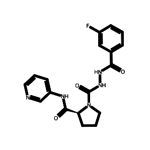 O=C(NNC(=O)N1CCC[C@H]1C(=O)Nc1cccnc1)c1cccc(F)c1